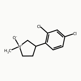 C[N+]1([O-])CCC(c2ccc(Cl)cc2Cl)C1